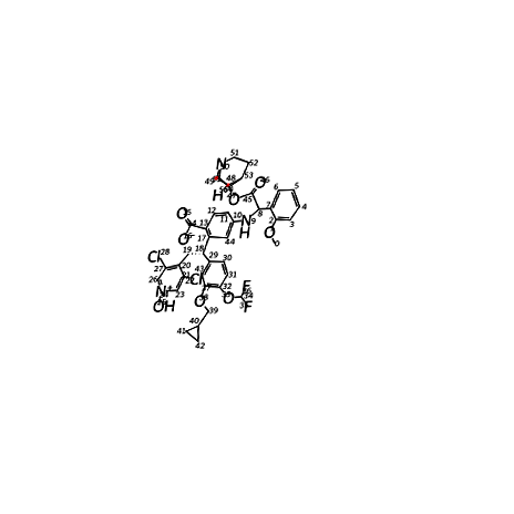 COc1ccccc1C(Nc1ccc(C(=O)[O-])c([C@@H](Cc2c(Cl)c[n+](O)cc2Cl)c2ccc(OC(F)F)c(OCC3CC3)c2)c1)C(=O)O[C@H]1CN2CCC1CC2